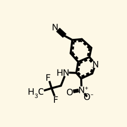 CC(F)(F)CNc1c([N+](=O)[O-])cnc2ccc(C#N)cc12